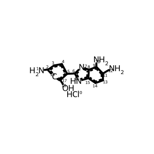 Cl.Nc1ccc(-c2nc3c(N)c(N)ccc3[nH]2)c(O)c1